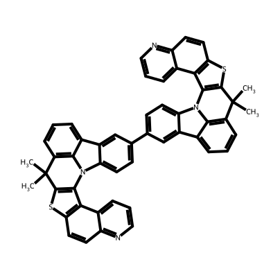 CC1(C)c2sc3ccc4ncccc4c3c2-n2c3ccc(-c4ccc5c(c4)c4cccc6c4n5-c4c(sc5ccc7ncccc7c45)C6(C)C)cc3c3cccc1c32